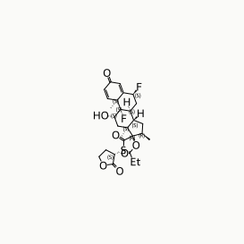 CCC(=O)O[C@]1(C(=O)S[C@H]2CCOC2=O)[C@H](C)C[C@H]2[C@@H]3C[C@H](F)C4=CC(=O)C=C[C@]4(C)[C@]3(F)[C@@H](O)C[C@@]21C